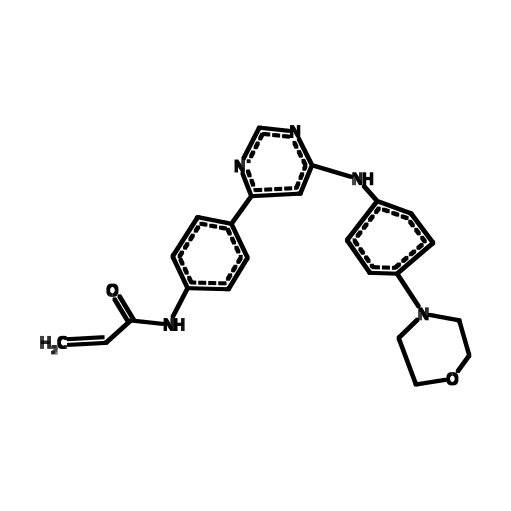 C=CC(=O)Nc1ccc(-c2cc(Nc3ccc(N4CCOCC4)cc3)ncn2)cc1